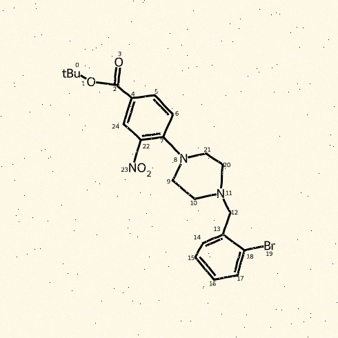 CC(C)(C)OC(=O)c1ccc(N2CCN(Cc3ccccc3Br)CC2)c([N+](=O)[O-])c1